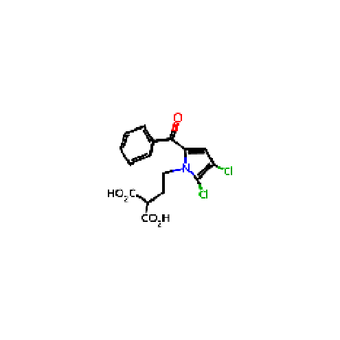 O=C(c1ccccc1)c1cc(Cl)c(Cl)n1CCC(C(=O)O)C(=O)O